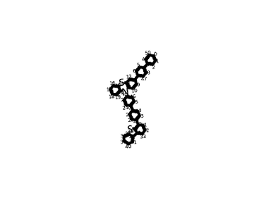 c1ccc(-c2ccc(-c3ccc4c(c3)Sc3ccccc3N4c3ccc(-c4ccc(-c5cccc6c5sc5ccccc56)cc4)cc3)cc2)cc1